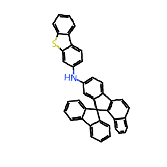 c1ccc2c(c1)-c1ccccc1C21c2cc(Nc3ccc4c(c3)sc3ccccc34)ccc2-c2ccc3ccccc3c21